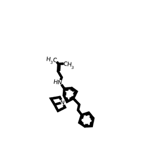 C1CN2CCC12.CC(C)=CCNc1ccc(CCc2ccccc2)cc1